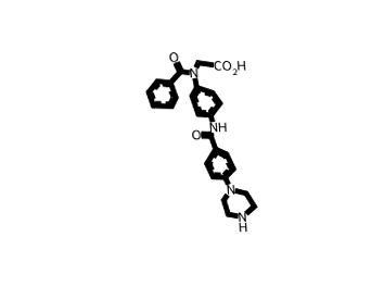 O=C(O)CN(C(=O)c1ccccc1)c1ccc(NC(=O)c2ccc(N3CCNCC3)cc2)cc1